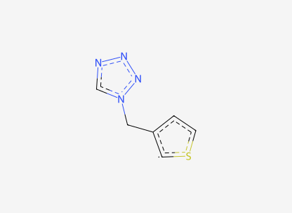 [c]1sccc1Cn1cnnn1